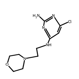 Nc1nc(Cl)cc(NCCN2CCOCC2)n1